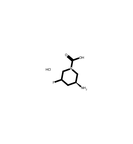 Cl.N[C@H]1CC(F)CN(C(=O)O)C1